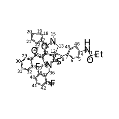 CCC(=O)Nc1ccc(-c2sc3c(c2CN(C)Cc2ccccc2)c(=O)c(C(=O)c2ccccc2)cn3Cc2c(F)cccc2F)cc1